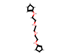 C1=C(OCCOCCOCCOC2=CCCC2)CCC1